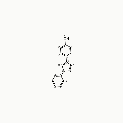 Oc1ccc(-c2nnn(-c3ccccc3)n2)cc1